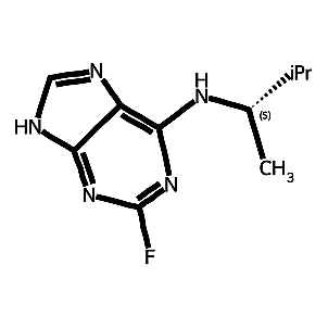 CC(C)[C@H](C)Nc1nc(F)nc2[nH]cnc12